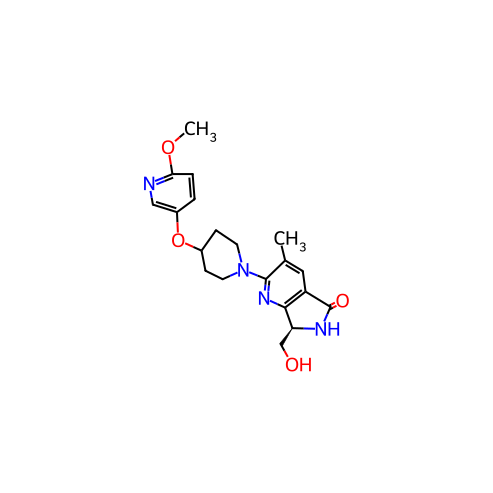 COc1ccc(OC2CCN(c3nc4c(cc3C)C(=O)N[C@H]4CO)CC2)cn1